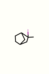 CC1(I)CC2CCC1C2